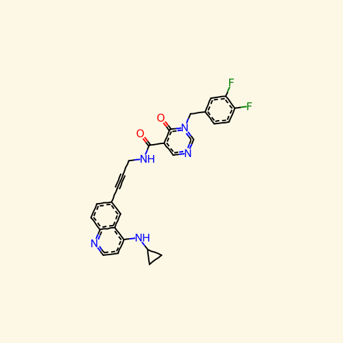 O=C(NCC#Cc1ccc2nccc(NC3CC3)c2c1)c1cncn(Cc2ccc(F)c(F)c2)c1=O